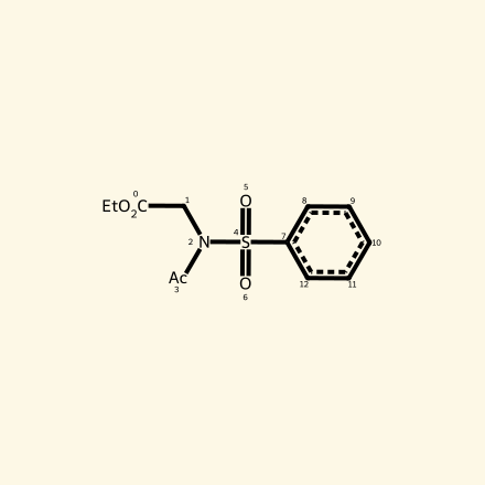 CCOC(=O)CN(C(C)=O)S(=O)(=O)c1ccccc1